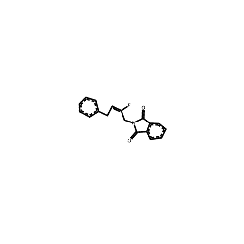 O=C1c2ccccc2C(=O)N1C/C(F)=C\Cc1ccccc1